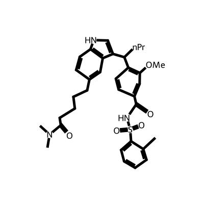 CCCC(c1ccc(C(=O)NS(=O)(=O)c2ccccc2C)cc1OC)c1c[nH]c2ccc(CCCCC(=O)N(C)C)cc12